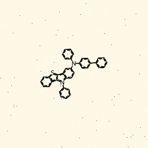 c1ccc(-c2ccc(N(c3ccccc3)c3ccc4c(c3)c3sc5ccccc5c3n4-c3ccccc3)cc2)cc1